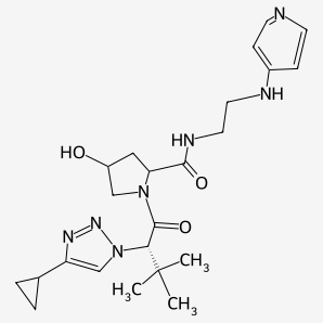 CC(C)(C)[C@@H](C(=O)N1CC(O)CC1C(=O)NCCNc1ccncc1)n1cc(C2CC2)nn1